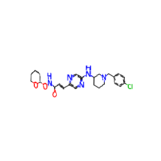 O=C(C=Cc1cnc(N[C@@H]2CCCN(Cc3ccc(Cl)cc3)C2)cn1)NOC1CCCCO1